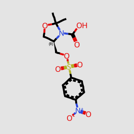 CC1(C)OC[C@H](COS(=O)(=O)c2ccc([N+](=O)[O-])cc2)N1C(=O)O